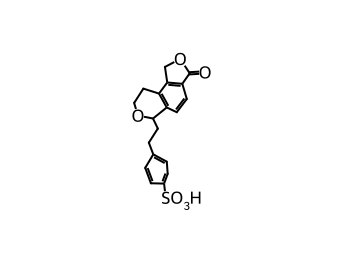 O=C1OCc2c1ccc1c2CCOC1CCc1ccc(S(=O)(=O)O)cc1